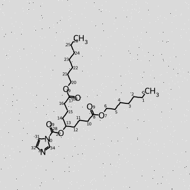 CCCCCCCOC(=O)CCCC(CCCC(=O)OCCCCCCC)OC(=O)n1ccnc1